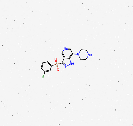 O=S(=O)(c1cccc(F)c1)c1n[nH]c2c(N3CCNCC3)cncc12